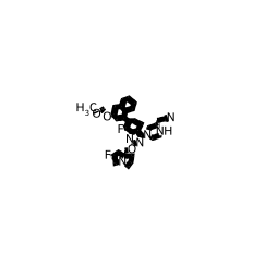 COCOc1cc(-c2ccc3c(N4CCN[C@@H](CC#N)C4)nc(OC[C@@]45CCCN4C[C@H](F)C5)nc3c2F)c2ccccc2c1